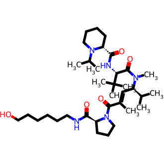 C/C(=C\[C@H](C(C)C)N(C)C(=O)[C@@H](NC(=O)[C@H]1CCCCN1C(C)C)C(C)(C)C)C(=O)N1CCC[C@H]1C(=O)NCCCCCCO